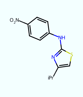 CC(C)c1csc(Nc2ccc([N+](=O)[O-])cc2)n1